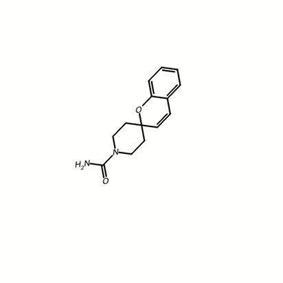 NC(=O)N1CCC2(C=Cc3ccccc3O2)CC1